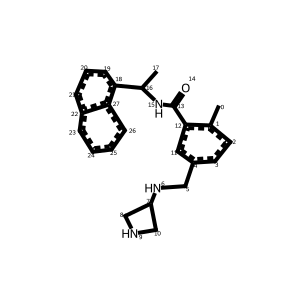 Cc1ccc(CNC2CNC2)cc1C(=O)NC(C)c1cccc2ccccc12